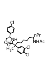 CCCC(CCCCCC(C)(C(=O)N[C@@H](CO)c1ccc(Cl)cc1)c1ccc(Cl)c(Cl)c1)NC(C)=O